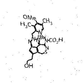 COc1c(C)cnc(Cn2nc3cc(CCO)c4c-3c(n2)C(N(C(=O)O)C(C)(C)C)=NSC4)c1C